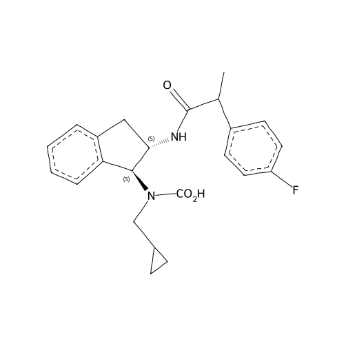 CC(C(=O)N[C@H]1Cc2ccccc2[C@@H]1N(CC1CC1)C(=O)O)c1ccc(F)cc1